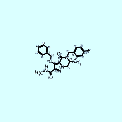 CNC(=O)c1nn2c(c1OCc1ccccc1)C(=O)N(Cc1ccc(F)cc1)C(C)C2